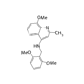 COc1cccc(OC)c1CNc1cc(C)nc2c(OC)cccc12